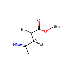 [CH2]CC(C(=O)OC(C)(C)C)[C@@H](CC)C(C)=N